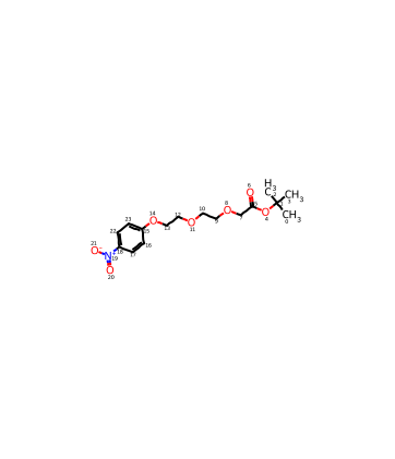 CC(C)(C)OC(=O)COCCOCCOc1ccc([N+](=O)[O-])cc1